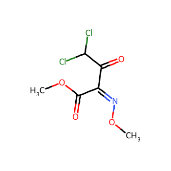 CON=C(C(=O)OC)C(=O)C(Cl)Cl